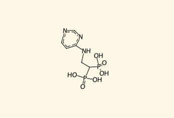 O=P(O)(O)C(CNc1ccncn1)P(=O)(O)O